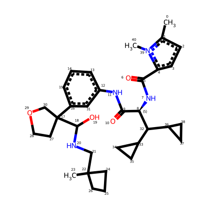 Cc1ccc(C(=O)N[C@H](C(=O)Nc2cccc(C3(C(O)NCC4(C)CCC4)CCOC3)c2)C(C2CC2)C2CC2)n1C